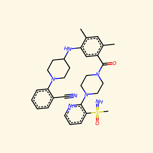 Cc1cc(C)c(C(=O)N2CCN(c3ncccc3S(C)(=N)=O)CC2)cc1NC1CCN(c2ccccc2C#N)CC1